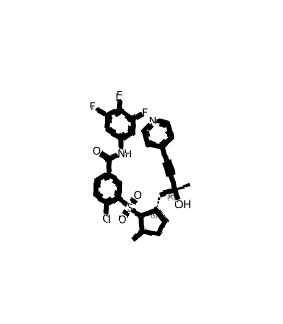 CC1CC[C@@H](C[C@@](C)(O)C#Cc2ccncc2)C1S(=O)(=O)c1cc(C(=O)Nc2cc(F)c(F)c(F)c2)ccc1Cl